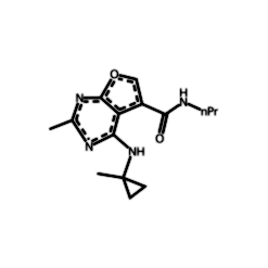 CCCNC(=O)c1coc2nc(C)nc(NC3(C)CC3)c12